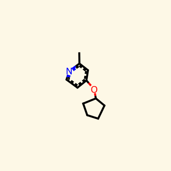 Cc1cc(OC2CCCC2)ccn1